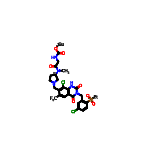 CCS(=O)(=O)c1ccc(Cl)cc1Cn1c(=O)[nH]c2c(Cl)c(CN3CC[C@@H](N(C)C(=O)CNC(=O)OC(C)(C)C)C3)c(C(F)(F)F)cc2c1=O